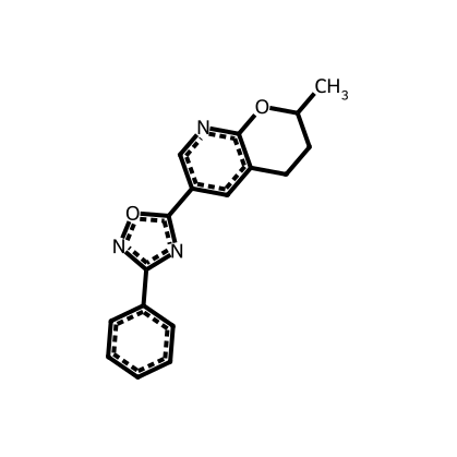 CC1CCc2cc(-c3nc(-c4ccccc4)no3)cnc2O1